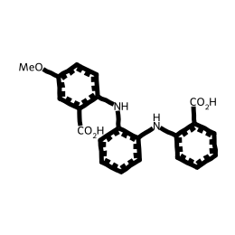 COc1ccc(Nc2ccccc2Nc2ccccc2C(=O)O)c(C(=O)O)c1